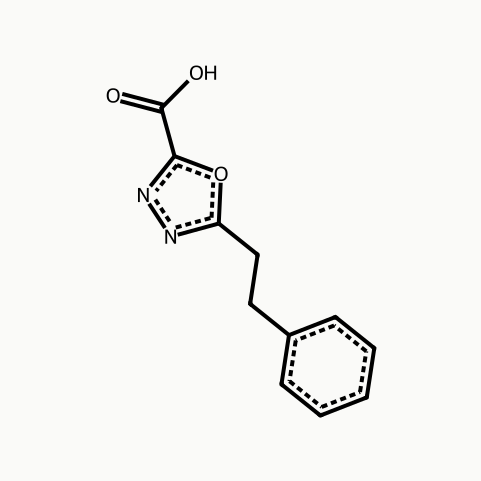 O=C(O)c1nnc(CCc2ccccc2)o1